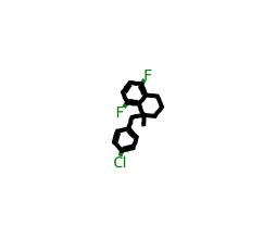 CC1(Cc2ccc(Cl)cc2)CCCc2c(F)ccc(F)c21